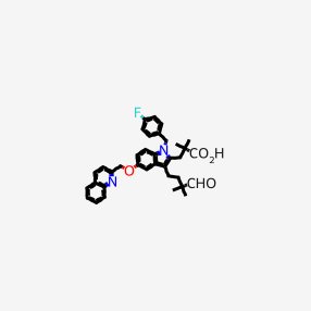 CC(C)(C=O)CCc1c(CC(C)(C)C(=O)O)n(Cc2ccc(F)cc2)c2ccc(OCc3ccc4ccccc4n3)cc12